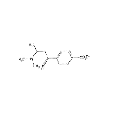 CCOC(=O)c1ccc(C(=N)CC(C)N(C)C)cc1